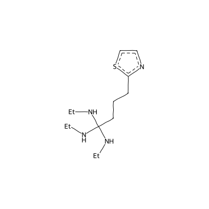 CCNC(CCCc1nccs1)(NCC)NCC